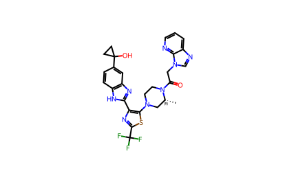 C[C@@H]1CN(c2sc(C(F)(F)F)nc2-c2nc3cc(C4(O)CC4)ccc3[nH]2)CCN1C(=O)Cn1cnc2cccnc21